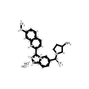 Cl.Cl.NC1CCN([C@H](c2ccc3nnc(-c4ccc5ccc(OC(F)(F)F)cc5n4)n3c2)C(F)(F)F)C1